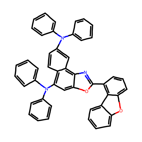 c1ccc(N(c2ccccc2)c2ccc3c(N(c4ccccc4)c4ccccc4)cc4oc(-c5cccc6oc7ccccc7c56)nc4c3c2)cc1